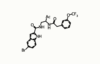 CC(=O)C(CNC(=O)c1cc2cc(Br)ccc2[nH]1)NC(=O)Cc1cccc(OC(F)(F)F)c1